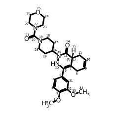 COc1ccc(C2=C3CC=CC[C@H]3C(=O)N(C3CCN(C(=O)N4CCOCC4)CC3)N2)cc1OC